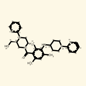 Cc1cc(C)c(C(=O)N2CCN(c3ccccn3)[C@H](CO)C2)c(C)c1NC1CCN(c2ccc#cn2)CC1